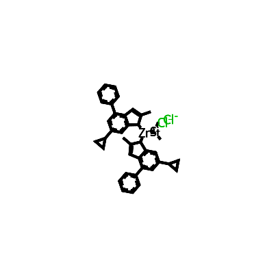 CC1=Cc2c(-c3ccccc3)cc(C3CC3)cc2[CH]1[Zr+2]([CH]1C(C)=Cc2c(-c3ccccc3)cc(C3CC3)cc21)=[Si](C)C.[Cl-].[Cl-]